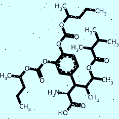 CCCC(C)OC(=O)Oc1ccc(C(C(C)C(C)OC(=O)C(C)C(C)C)[C@H](N)C(=O)O)cc1OC(=O)OC(C)CCC